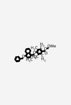 COCOC(=O)c1c(C)c(C)c(OC(=O)c2c(C)cc(OCc3ccccc3)c3c2CC=CC3)c(C)c1C